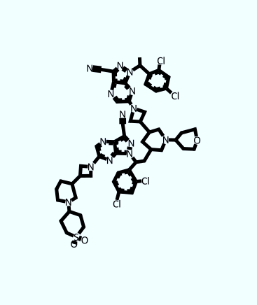 CC(c1ccc(Cl)cc1Cl)n1nc(C#N)c2ncc(N3CC(C4CC(CC(c5ccc(Cl)cc5Cl)n5nc(C#N)c6ncc(N7CC(C8CCCN(C9CCS(=O)(=O)CC9)C8)C7)nc65)CN(C5CCOCC5)C4)C3)nc21